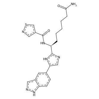 NC(=O)CCCCC[C@H](NC(=O)c1cnsc1)c1ncc(-c2ccc3[nH]ncc3c2)[nH]1